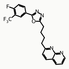 Fc1ccc(-c2nnc(CCCCc3ccc4cccnc4n3)o2)cc1C(F)(F)F